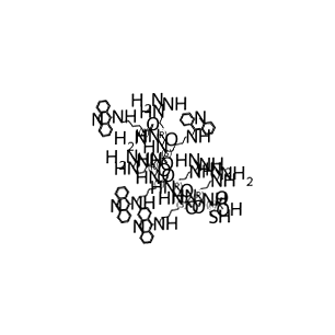 N=C(N)NCCC[C@@H](NC(=O)[C@H](CCCCNc1c2ccccc2nc2ccccc12)NC(=O)[C@@H](CCCNC(=N)N)NC(=O)[C@H](CCCCNc1c2ccccc2nc2ccccc12)NC(=O)[C@@H](CCCNC(=N)N)NC(=O)[C@H](CCCCNc1c2ccccc2nc2ccccc12)NC(=O)[C@@H](CCCNC(=N)N)NC(=O)[C@@H](N)CCCCNc1c2ccccc2nc2ccccc12)C(=O)N[C@@H](CS)C(=O)O